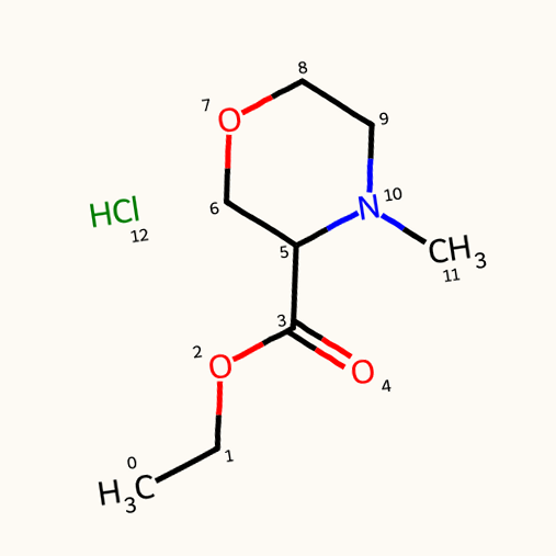 CCOC(=O)C1COCCN1C.Cl